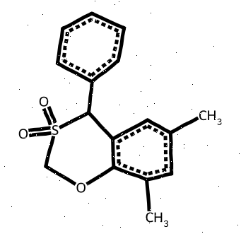 Cc1cc(C)c2c(c1)C(c1ccccc1)S(=O)(=O)CO2